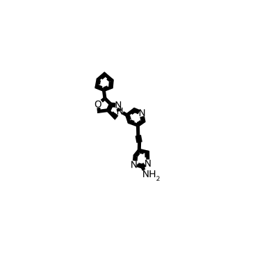 Nc1ncc(C#Cc2cncc(-n3cc4c(n3)C(c3ccccc3)OC4)c2)cn1